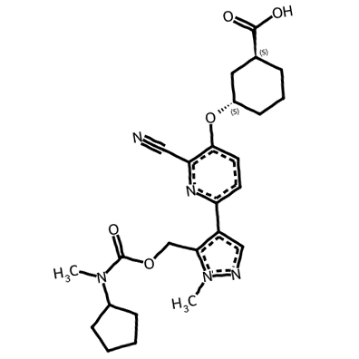 CN(C(=O)OCc1c(-c2ccc(O[C@H]3CCC[C@H](C(=O)O)C3)c(C#N)n2)cnn1C)C1CCCC1